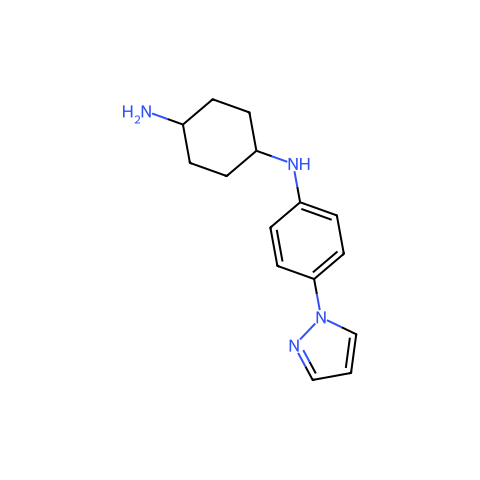 NC1CCC(Nc2ccc(-n3cccn3)cc2)CC1